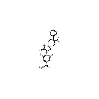 CN(C)C1(c2ccccc2)CCC2(CC1)CN(c1c(F)cc(C(N)=O)cc1F)C(=O)N2